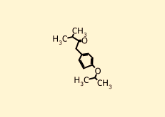 CC(C)Oc1ccc(CC(=O)C(C)C)cc1